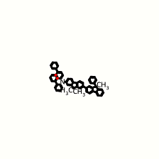 CC1(C)c2cc(-c3ccc4c(c3)C(C)(c3ccccc3)c3ccccc3-4)ccc2-c2ccc(N(c3ccc(-c4ccccc4)cc3)c3ccccc3-c3ccccc3)cc21